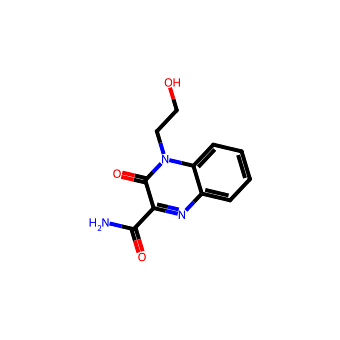 NC(=O)c1nc2ccccc2n(CCO)c1=O